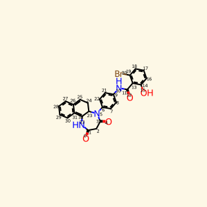 O=C1CC(=O)N(c2ccc(NC(=O)c3c(O)cccc3Br)cc2)C2CC=c3ccccc3=C2N1